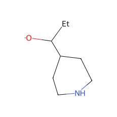 CCC([O])C1CCNCC1